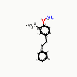 NOc1ccc(CCc2ccccc2)cc1C(=O)O